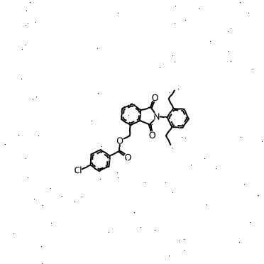 CCc1cccc(CC)c1N1C(=O)c2cccc(COC(=O)c3ccc(Cl)cc3)c2C1=O